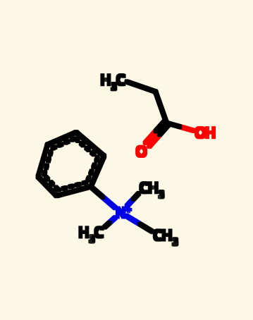 CCC(=O)O.C[N+](C)(C)c1ccccc1